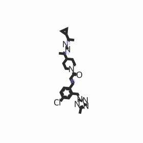 C/C(=N\N=C(/C)C1CCN(C(=O)/C=C/c2ccc(Cl)cc2Cn2nnc(C)n2)CC1)C1CC1